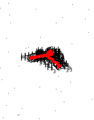 CCC(C)C(C)C(C)C(C)C(O)C(C)C(C)C(C)C(C)C(C)C(C)C(C)C(C)C(C)C(O)C(C)C(C)C(C)C(C)C(C)C(C)C(C)C(C)C(C)C(O)C(C)C(C)C(C)C(C)C(C)C(C)C(C)C(C)C(C)C(O)C(C)C(C)C(C)C(C)C(C)C(C)C(C)C(C)C(C)C(O)(O)C(C)C(O)C(C)C(O)C(C)C(O)C(C)C(O)C(C)C(O)C(C)C(O)C(C)C(O)C(C)C(O)C(C)C(O)C(C)C(O)C(C)CO